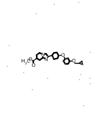 COC(=O)c1ccn2cc(-c3ccc(Oc4cccc(OCC5CC5)c4)cc3)nc2c1